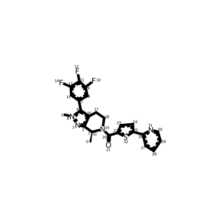 C[C@H]1c2nn(C)c(-c3cc(F)c(F)c(F)c3)c2CCN1C(=O)c1ccc(-c2ccccn2)s1